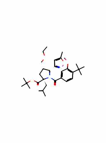 CCOC[C@H]1C[C@@](CC(C)C)(C(=O)OC(C)(C)C)N(C(=O)c2ccc(C(C)(C)C)c(OC)c2)[C@H]1c1cc(C)on1